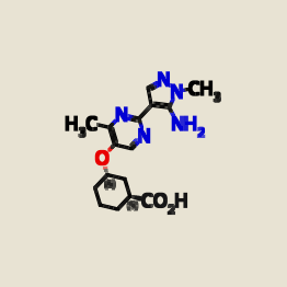 Cc1nc(-c2cnn(C)c2N)ncc1O[C@H]1CCC[C@H](C(=O)O)C1